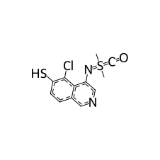 CS(C)(=C=O)=Nc1cncc2ccc(S)c(Cl)c12